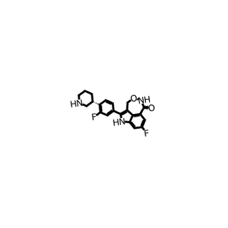 O=C1NOCc2c(-c3ccc([C@H]4CCCNC4)c(F)c3)[nH]c3cc(F)cc1c23